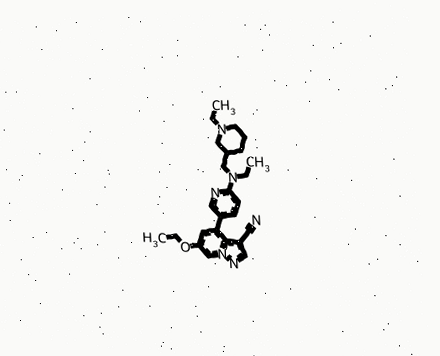 CCOc1cc(-c2ccc(N(CC)CC3CCCN(CC)C3)nc2)c2c(C#N)cnn2c1